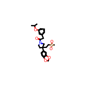 CC(C)Oc1cccc(CC(=O)N2CCC(CCS(C)(=O)=O)(c3ccc4c(c3)OCO4)C2)c1